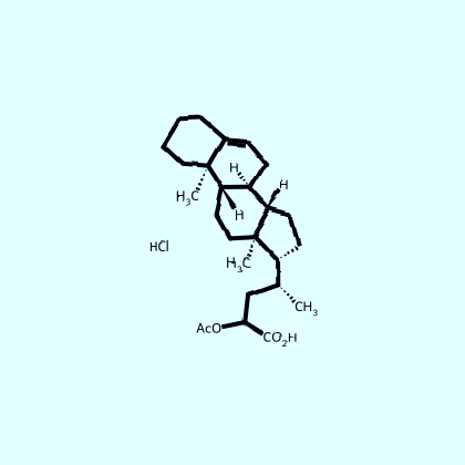 CC(=O)OC(C[C@@H](C)[C@H]1CC[C@H]2[C@@H]3CC=C4CCCC[C@]4(C)[C@H]3CC[C@]12C)C(=O)O.Cl